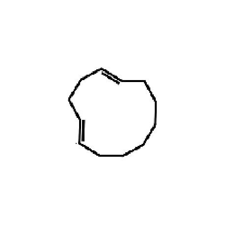 [C]1=C/CC/C=C/CCCCCC/1